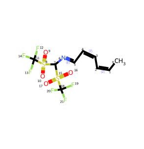 C\C=C/C=C\C=N\C(S(=O)(=O)C(F)(F)F)S(=O)(=O)C(F)(F)F